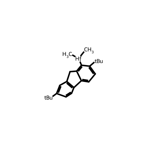 [CH3][Hf]([CH3])[c]1c(C(C)(C)C)ccc2c1Cc1cc(C(C)(C)C)ccc1-2